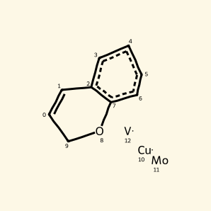 C1=Cc2ccccc2OC1.[Cu].[Mo].[V]